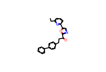 CCc1cccc(-c2cnc(C(=O)CCc3ccc(-c4ccccc4)cc3)o2)n1